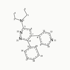 CCN(CC)c1cc(-c2ccncc2)c(-c2ccccc2)nn1